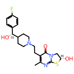 Cc1nc2n(c(=O)c1CCN1CCC([C@H](O)c3ccc(F)cc3)CC1)C[C@H](O)S2